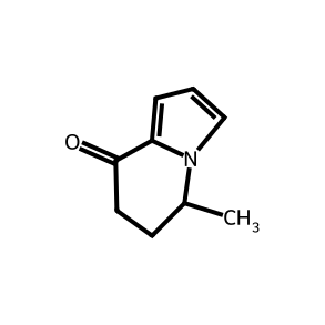 CC1CCC(=O)c2cccn21